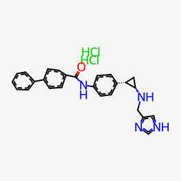 Cl.Cl.O=C(Nc1ccc([C@@H]2C[C@H]2NCc2c[nH]cn2)cc1)c1ccc(-c2ccccc2)cc1